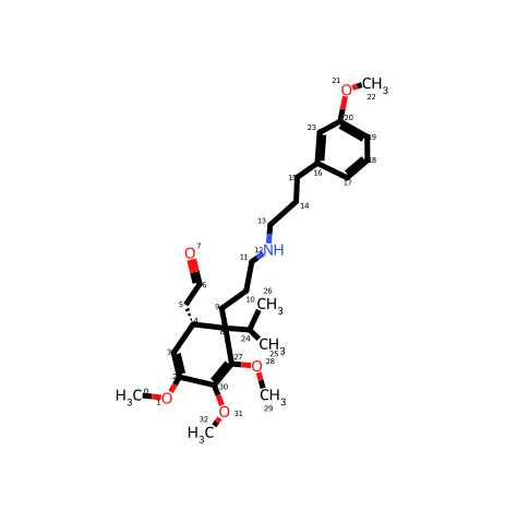 COC1=C[C@H](CC=O)C(CCCNCCCc2cccc(OC)c2)(C(C)C)C(OC)=C1OC